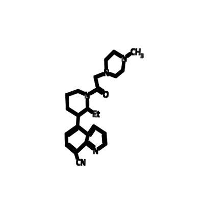 CCC1C(c2ccc(C#N)c3ncccc23)CCCN1C(=O)CN1CCN(C)CC1